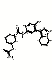 NC(=O)O[C@H]1CCC[C@H](C(=O)Nc2cc(-c3cnn4c3CCCC4)c(Cl)cn2)C1